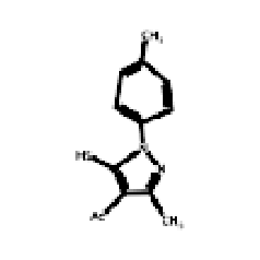 CC(=O)c1c(C)nn(-c2ccc(C)cc2)c1S